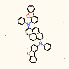 c1ccc(N(c2ccc3oc4ccccc4c3c2)c2ccc3ccc4c(N(c5ccccc5)c5cccc6c5oc5ccccc56)ccc5ccc2c3c54)cc1